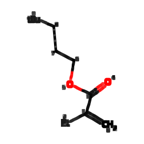 C=C(CC)C(=O)OCCCC(C)(C)C